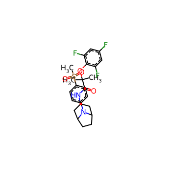 CC(C)(Oc1c(F)cc(F)cc1F)C(=O)NC1CC2CCC(C1)N2c1ccc(S(C)(=O)=O)cc1